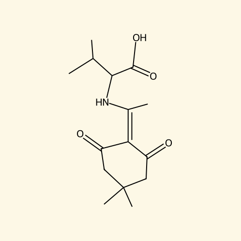 CC(NC(C(=O)O)C(C)C)=C1C(=O)CC(C)(C)CC1=O